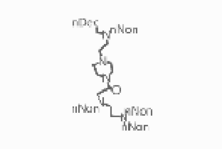 CCCCCCCCCCCN(CCCCCCCCC)CCN1CCN(C(=O)CN(CCCCCCCCC)CCN(CCCCCCCCC)CCCCCCCCC)CC1